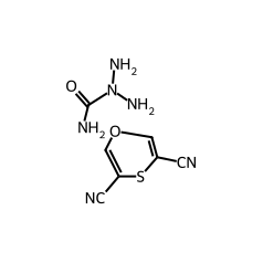 N#CC1=COC=C(C#N)S1.NC(=O)N(N)N